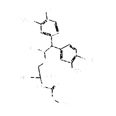 COc1cc(C(c2ccc(C)c(OC)c2)[C@H](C)OC[C@@](C)(C=O)NC(=O)OC(C)(C)C)ccc1C